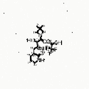 CC1(C)CN(C(=O)C(O)[C@@H](N)C[C@@H]2CCCNC2=O)C1.O=C(O)C(F)(F)F